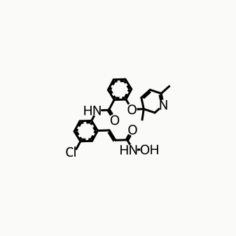 CC1=NCC(C)(Oc2ccccc2C(=O)Nc2ccc(Cl)cc2/C=C/C(=O)NO)C=C1